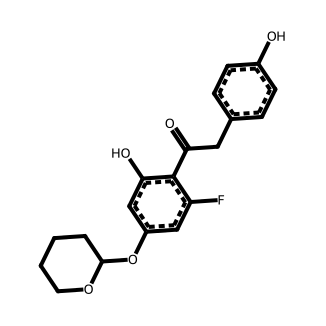 O=C(Cc1ccc(O)cc1)c1c(O)cc(OC2CCCCO2)cc1F